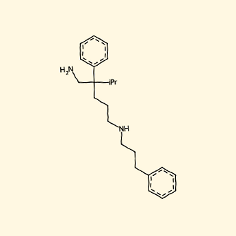 CC(C)C(CN)(CCCNCCCc1ccccc1)c1ccccc1